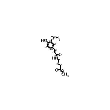 COC(=O)CCCNC(=O)/C=C/c1ccc(O)c(OC)c1